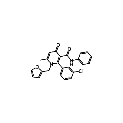 Cc1cc(=O)c(C(=O)Nc2ccccc2)c(-c2cccc(Cl)c2)n1Cc1ccco1